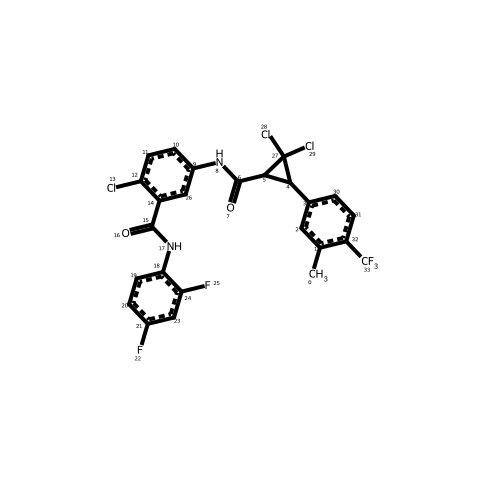 Cc1cc(C2C(C(=O)Nc3ccc(Cl)c(C(=O)Nc4ccc(F)cc4F)c3)C2(Cl)Cl)ccc1C(F)(F)F